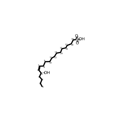 CCCC[C@@H](O)/C=C\CCCCCCCCCCCCS(=O)(=O)O